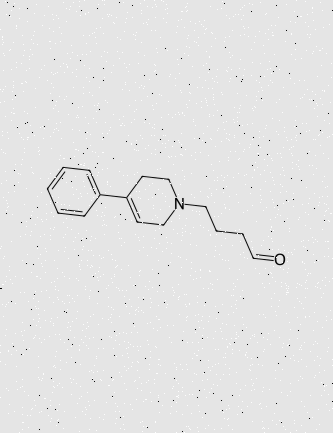 O=CCCCN1CC=C(c2ccccc2)CC1